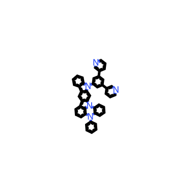 c1ccc(N2c3ccccc3-n3c4cc5c(cc4c4cccc2c43)c2ccccc2n5-c2cc(-c3cccnc3)cc(-c3cccnc3)c2)cc1